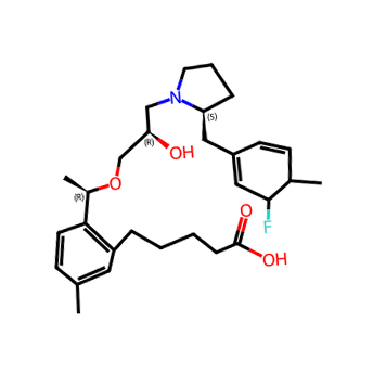 Cc1ccc([C@@H](C)OC[C@H](O)CN2CCC[C@H]2CC2=CC(F)C(C)C=C2)c(CCCCC(=O)O)c1